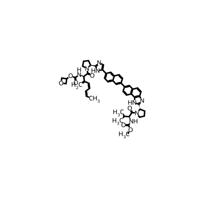 C=C(/C=C\C=C/C)[C@@H](NC(=O)OC1COC1)C(=O)N1CCC[C@H]1c1ncc(-c2ccc3cc(-c4ccc5c(ccc6nc([C@@H]7CCCN7C(=O)[C@@H](NC(=O)OC)C(C)C)[nH]c65)c4)ccc3c2)[nH]1